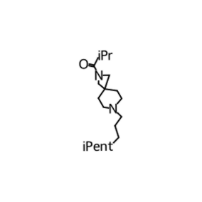 CCCC(C)CCCN1CCC2(CC1)CN(C(=O)C(C)C)C2